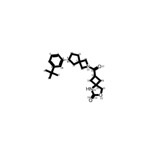 CC(C)(C)c1cccc([C@@H]2CCC3(C2)CN(C(=O)C2CC4(COC(=O)N4)C2)C3)c1